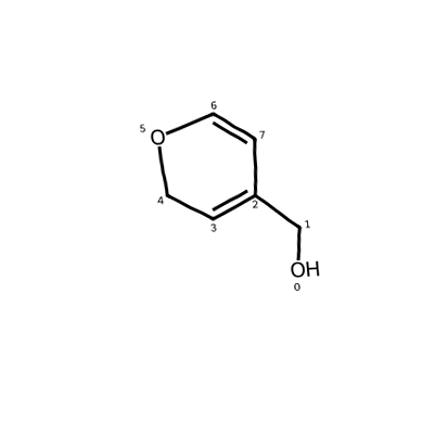 OCC1=CCOC=C1